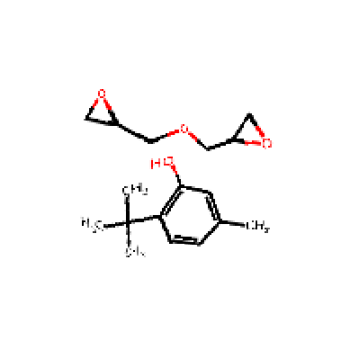 C(OCC1CO1)C1CO1.Cc1ccc(C(C)(C)C)c(O)c1